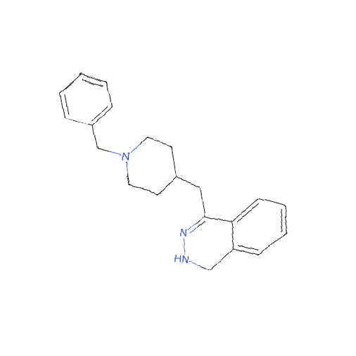 c1ccc(CN2CCC(CC3=NNCc4ccccc43)CC2)cc1